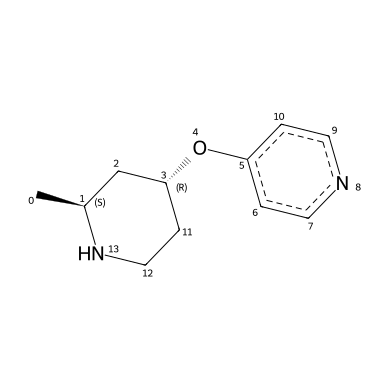 C[C@H]1C[C@H](Oc2ccncc2)CCN1